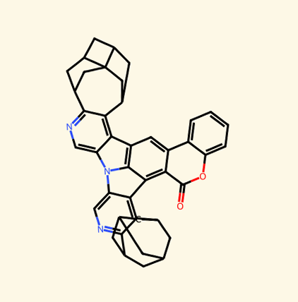 O=c1oc2ccccc2c2cc3c4c5c(ncc4n4c6cnc7c(c6c(c12)c34)C1CC2CC(CC7C2)C1)C1CC2CC3CC5CC23C1